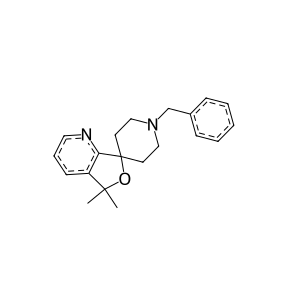 CC1(C)OC2(CCN(Cc3ccccc3)CC2)c2ncccc21